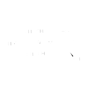 C[C@H](CO)CO[Si](C)(C)C(C)(C)C